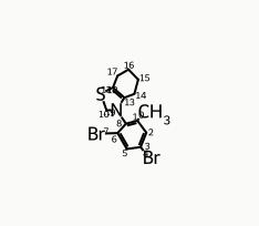 Cc1cc(Br)cc(Br)c1N1[C]SC2=C1CCCC2